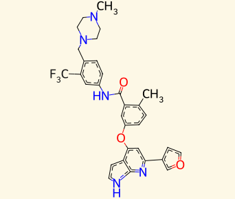 Cc1ccc(Oc2cc(-c3ccoc3)nc3[nH]ccc23)cc1C(=O)Nc1ccc(CN2CCN(C)CC2)c(C(F)(F)F)c1